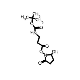 CC(C)(C)OC(=O)NCCC(=O)ON1C(=O)CCC1O